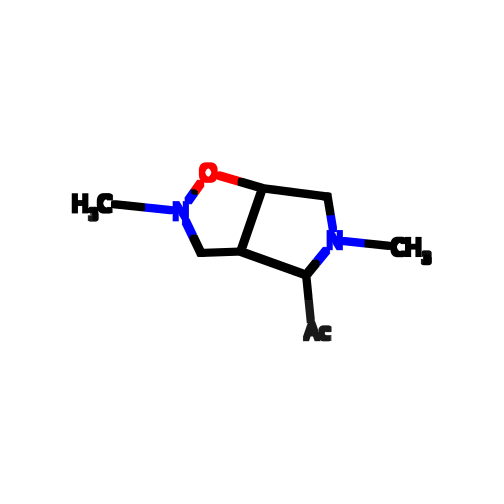 CC(=O)C1C2CN(C)OC2CN1C